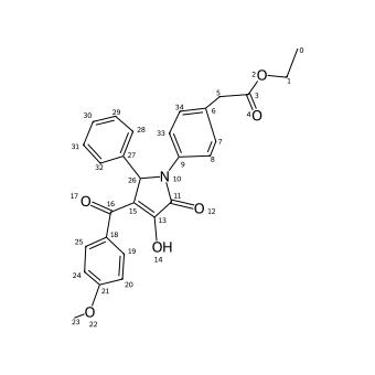 CCOC(=O)Cc1ccc(N2C(=O)C(O)=C(C(=O)c3ccc(OC)cc3)C2c2ccccc2)cc1